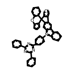 c1ccc(-c2nc(-c3ccccc3)nc(-c3ccc(-n4c5ccccc5c5cc6c(cc54)C4(c5ccccc5Oc5ccccc54)c4ccccc4-6)cc3)n2)cc1